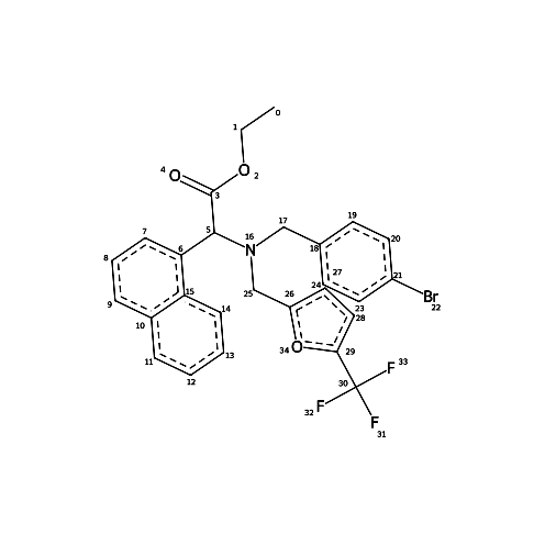 CCOC(=O)C(c1cccc2ccccc12)N(Cc1ccc(Br)cc1)Cc1ccc(C(F)(F)F)o1